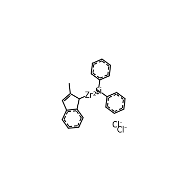 CC1=Cc2ccccc2[CH]1[Zr+2]=[Si](c1ccccc1)c1ccccc1.[Cl-].[Cl-]